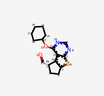 O=C[C@H]1CCc2sc3ncnc(OC4CCCCC4)c3c21